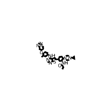 C=CC(=O)Nc1cc(-c2cc3c(Nc4ccc(Oc5ccn6ncnc6c5)c(C)c4)ncnc3s2)ccc1N1CCN(C2CC2)CC1